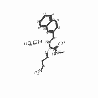 CNC(=O)[C@H](CCCCN)NCc1ccc2ccccc2c1.Cl.Cl